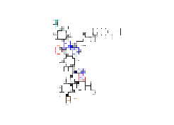 C[C@]1(c2cccc(Br)c2)CC(C2C=c3nc(CCCCC(=O)O)n(-c4ccc(F)cc4)c(=O)c3=CC2)=NO1